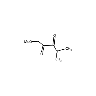 COCC(=O)C(=O)N(C)C